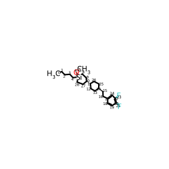 CCCCC[Si]1(OC)CCC([C@H]2CC[C@H](CCc3ccc(F)c(F)c3)CC2)CC1